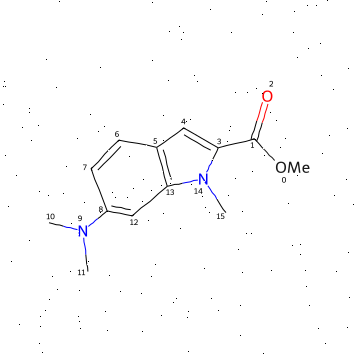 COC(=O)c1cc2ccc(N(C)C)cc2n1C